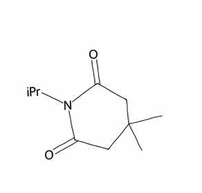 CC(C)N1C(=O)CC(C)(C)CC1=O